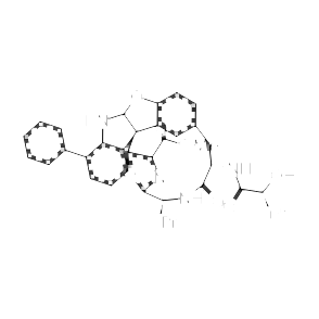 COC(=O)c1nc2oc1[C@]13c4cc(ccc4OC1Nc1c(-c4ccccc4)cccc13)C[C@H](NC(=O)[C@@H](O)C(C)C)C(=O)N[C@H]2C(C)C